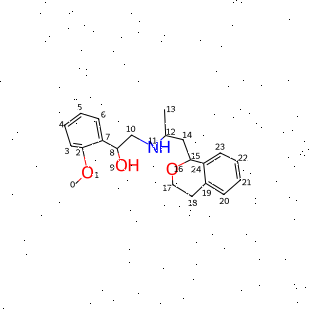 COc1ccccc1C(O)CNC(C)CC1OCCc2ccccc21